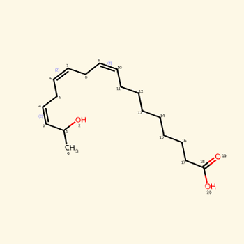 CC(O)/C=C\C/C=C\C/C=C\CCCCCCCC(=O)O